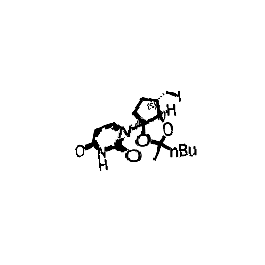 CCCCC1(C)O[C@@H]2[C@@H](CI)CC[C@@]2(n2ccc(=O)[nH]c2=O)O1